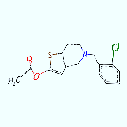 CC(=O)OC1=CC2CN(Cc3ccccc3Cl)CCC2S1